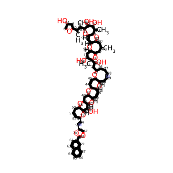 CC(C1CC(O)CO1)[C@H](C)C1O[C@H]2C[C@H]3O[C@H]4C[C@@H](O)C(C)(C(O)CC5CC/C=C\C[C@H]6O[C@H]7C=C[C@H]8O[C@@H]9C(CC8OC7C=CC6O5)OC5CC=C[C@H](/C=C/[C@H]6COC(c7ccc8ccccc8c7)O6)O[C@@H]5[C@H]9O)OC4C[C@H](C)CC3OC2C(C)[C@H](O)C1O